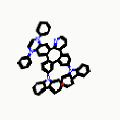 c1ccc(-n2ccn(-c3ccccc3)c3cc4c(cc32)c2ccc(-n3c5ccccc5c5ccccc53)cc2c2cc(-n3c5ccccc5c5ccccc53)ccc2c2cccnc24)cc1